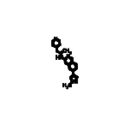 C=C(Cc1ccncc1)Nc1cc2cc(-c3cnn(C)c3)ccc2cn1